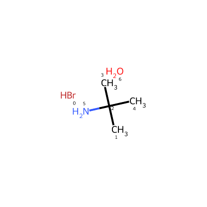 Br.CC(C)(C)N.O